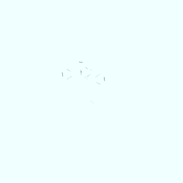 CC1CN(CCOc2cccc(-c3nc(Oc4ccc(F)cc4F)c4sccc4n3)c2)CC(C)O1